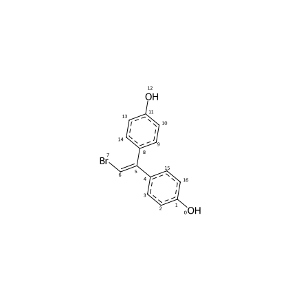 Oc1ccc(C(=CBr)c2ccc(O)cc2)cc1